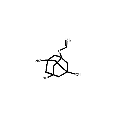 C=COC12CC3(O)CC(O)(CC(O)(C3)C1)C2